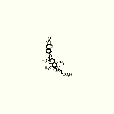 Cc1c(C)c2c(c(C)c1OC(=O)CCC(=O)O)CCC(C)(COc1ccc(CC3SC(=O)NC3=O)cc1)O2